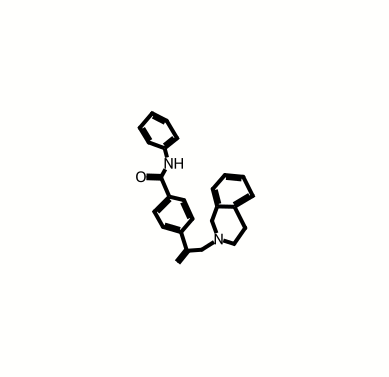 C=C(CN1CCc2ccccc2C1)c1ccc(C(=O)Nc2ccccc2)cc1